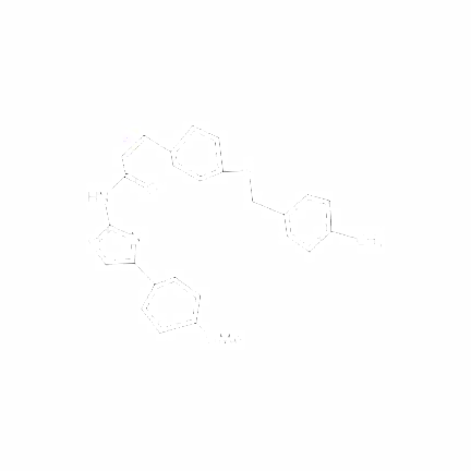 COc1ccc(-c2csc(NC(=O)/C=C\c3ccc(SCc4ccc(C)cc4)cc3)n2)cc1